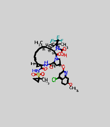 COc1ccc2c(Cl)cc(O[C@@H]3C[C@H]4C(=O)N[C@]5(C(=O)NS(=O)(=O)C6(C)CC6)C[C@H]5C=CCC[C@@H](C)C[C@@H](C)[C@H](N(C(=O)O)C(C)(C)C(F)(F)F)C(=O)N4C3)nc2c1